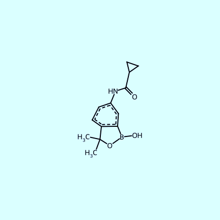 CC1(C)OB(O)c2cc(NC(=O)C3CC3)ccc21